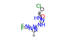 O=C(Nc1cc(NCc2cn3cc(C4CC4)cc(N4CCN5CC(F)(F)CC5C4)c3n2)ccn1)[C@H]1C[C@@H]1c1cccc(Cl)c1